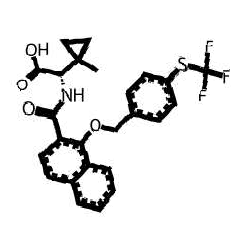 CC1([C@H](NC(=O)c2ccc3ccccc3c2OCc2ccc(SC(F)(F)F)cc2)C(=O)O)CC1